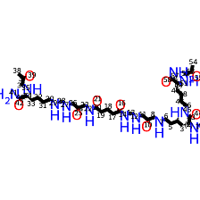 CN[C@H](CCCCNCC(=O)CNCNC(=O)CCCC(=O)NCC(=O)CNCNCCCC[C@H](NCC(C)=O)C(N)=O)C(=O)NCCCC[C@H](NCC(C)=O)C(N)=O